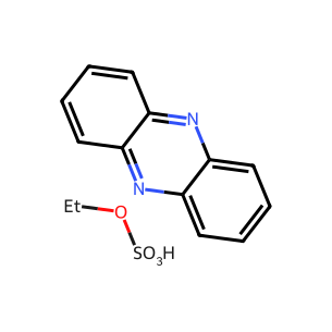 CCOS(=O)(=O)O.c1ccc2nc3ccccc3nc2c1